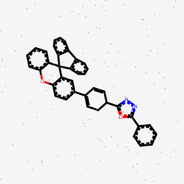 C1=CC(c2nnc(-c3ccccc3)o2)CC=C1c1ccc2c(c1)C1(c3ccccc3O2)c2ccccc2-c2ccccc21